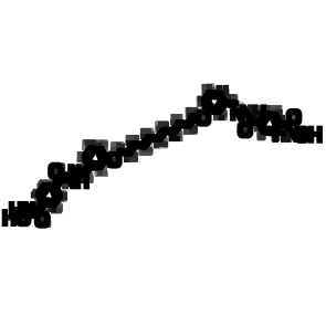 O=C(NO)c1ccc(C(=O)N/N=C/c2cccc(OCCCCCCCCCCCOc3cccc(/C=N/NC(=O)c4ccc(C(=O)NO)cc4)c3)c2)cc1